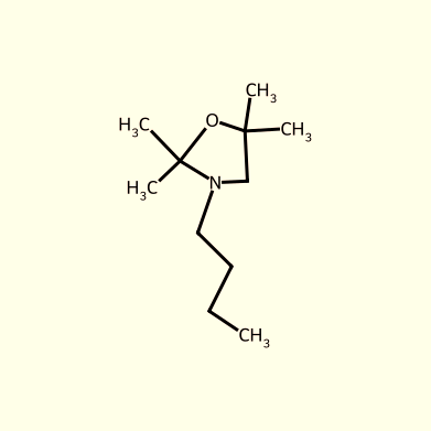 CCCCN1CC(C)(C)OC1(C)C